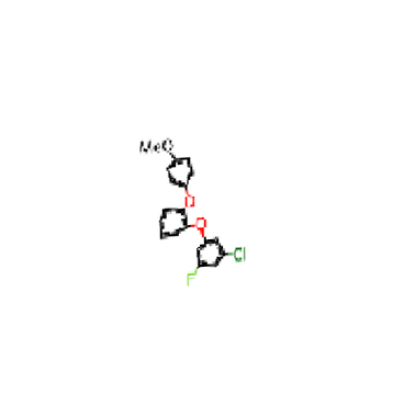 COc1ccc(Oc2ccccc2Oc2cc(F)cc(Cl)c2)cc1